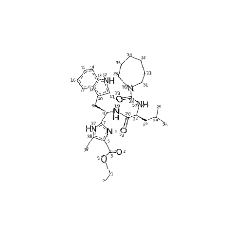 CCOC(=O)c1nc([C@@H](Cc2c[nH]c3ccccc23)NC(=O)[C@H](CC(C)C)NC(=O)N2CCCCCC2)[nH]c1C